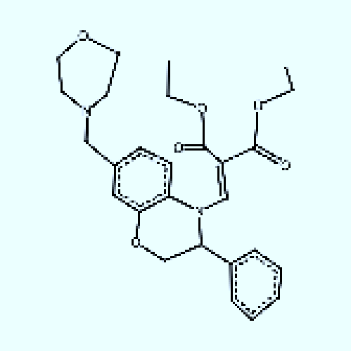 CCOC(=O)C(=CN1c2ccc(CN3CCOCC3)cc2OCC1c1ccccc1)C(=O)OCC